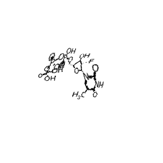 Cc1cn([C@@H]2O[C@H](COP(=O)(O)OP(=O)(O)OP(=O)(O)O)[C@@H](O)[C@@H]2F)c(=O)[nH]c1=O